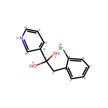 OC(O)(Cc1ccccc1Br)c1cccnc1